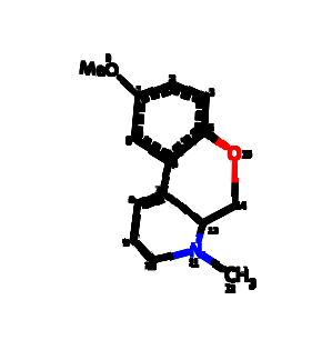 COc1ccc2c(c1)C1=CCCN(C)C1CO2